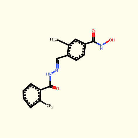 Cc1cc(C(=O)NO)ccc1C=NNC(=O)c1ccccc1C(F)(F)F